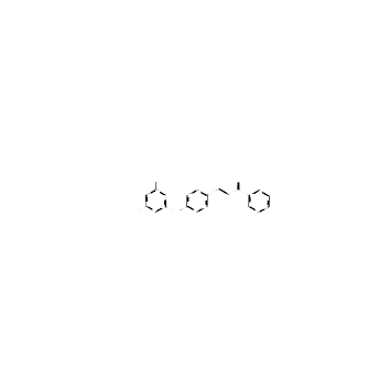 O=C(C=Cc1ccc(Oc2cc(O)cc(O)c2)cc1)c1ccccc1